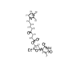 CC[C@H]1O[C@@H](n2cc(C)c(=O)[nH]c2=O)CC1OC(=O)CCC(=O)CCCC[n+]1ccn(C)c1C